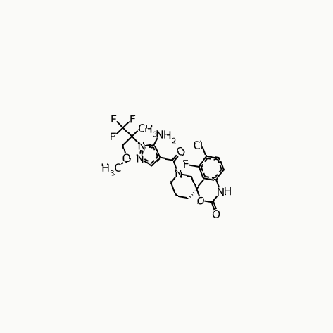 COCC(C)(n1ncc(C(=O)N2CCC[C@@]3(C2)OC(=O)Nc2ccc(Cl)c(F)c23)c1N)C(F)(F)F